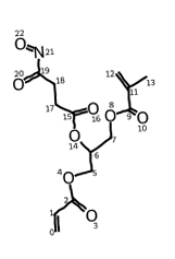 C=CC(=O)OCC(COC(=O)C(=C)C)OC(=O)CCC(=O)N=O